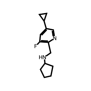 Fc1cc(C2CC2)cnc1CNC1CCCC1